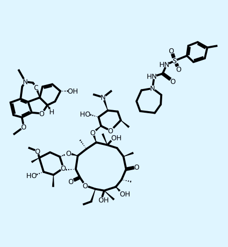 CC[C@H]1OC(=O)[C@H](C)[C@@H](O[C@H]2C[C@@](C)(OC)[C@@H](O)[C@H](C)O2)[C@H](C)[C@@H](O[C@@H]2O[C@H](C)C[C@H](N(C)C)[C@H]2O)[C@](C)(O)C[C@@H](C)C(=O)[C@H](C)[C@@H](O)[C@]1(C)O.COc1ccc2c3c1O[C@H]1C[C@@H](O)C=C[C@@]31CCN(C)C2.Cc1ccc(S(=O)(=O)NC(=O)NN2CCCCCC2)cc1